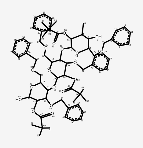 CC1C(O)C(COCc2ccccc2)OC(OC2C(COCc3ccccc3)OC(OC3C(COCc4ccccc4)OC(O)C(OC(=O)C(C)(C)C)C3OCc3ccccc3)C(OC(=O)C(C)(C)C)C2OCc2ccccc2)C1OC(=O)C(C)(C)C